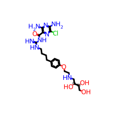 N=C(NCCCCc1ccc(OCCNC[C@H](O)[C@H](O)CO)cc1)NC(=O)c1nc(Cl)c(N)nc1N